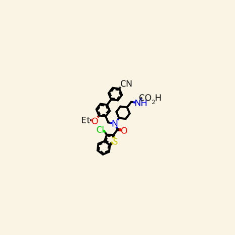 CCOc1ccc(-c2ccc(C#N)cc2)cc1CN(C(=O)c1sc2ccccc2c1Cl)C1CCC(CNC(=O)O)CC1